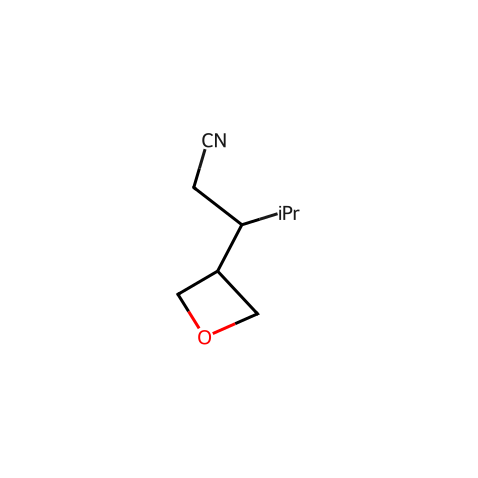 CC(C)C(CC#N)C1COC1